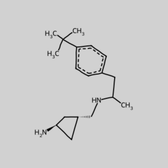 CC(Cc1ccc(C(C)(C)C)cc1)NC[C@H]1C[C@H](N)C1